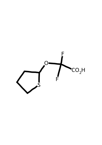 O=C(O)C(F)(F)OC1CCCS1